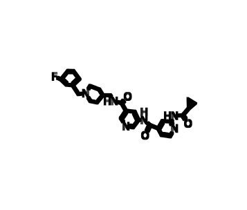 O=C(NCC1CCN(Cc2cccc(F)c2)CC1)c1cncc(NC(=O)c2ccnc(NC(=O)C3CC3)c2)c1